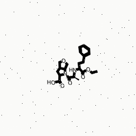 CCOC(=O)C(CCc1ccccc1)N[C@@H](C)C(=O)N1C(C(=O)O)CC2COCC21